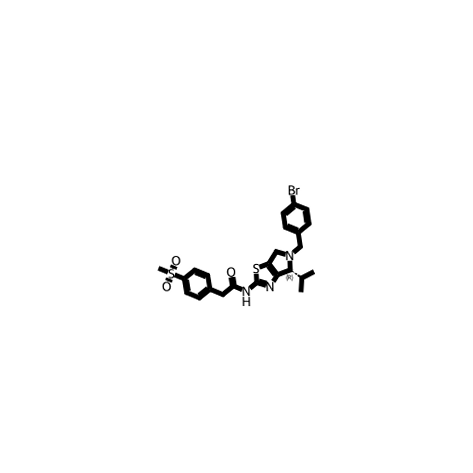 CC(C)[C@@H]1c2nc(NC(=O)Cc3ccc(S(C)(=O)=O)cc3)sc2CN1Cc1ccc(Br)cc1